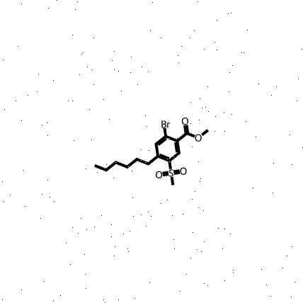 CCCCCCc1cc(Br)c(C(=O)OC)cc1S(C)(=O)=O